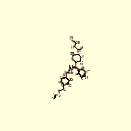 C=CCCCc1ccc(C=NN=C(c2ccccc2)[C@H]2CC[C@H](C(C)CCC)CC2)cc1